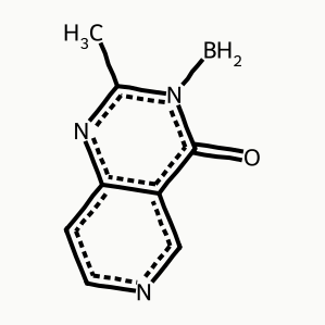 Bn1c(C)nc2ccncc2c1=O